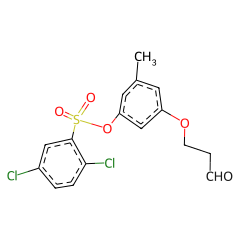 Cc1cc(OCCC=O)cc(OS(=O)(=O)c2cc(Cl)ccc2Cl)c1